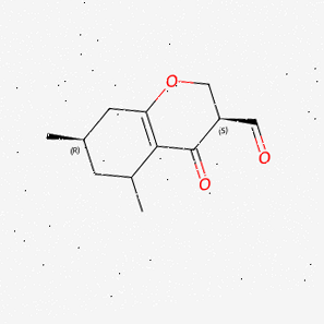 CC1C[C@@H](C)CC2=C1C(=O)[C@H](C=O)CO2